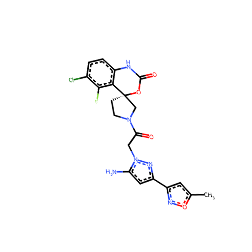 Cc1cc(-c2cc(N)n(CC(=O)N3CC[C@@]4(C3)OC(=O)Nc3ccc(Cl)c(F)c34)n2)no1